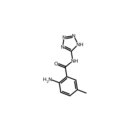 Cc1ccc(N)c(C(=O)Nc2nnn[nH]2)c1